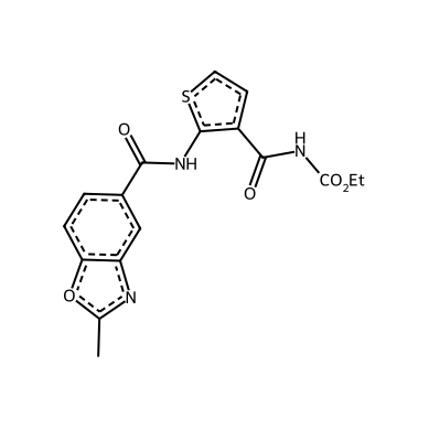 CCOC(=O)NC(=O)c1ccsc1NC(=O)c1ccc2oc(C)nc2c1